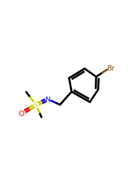 CS(C)(=O)=NCc1ccc(Br)cc1